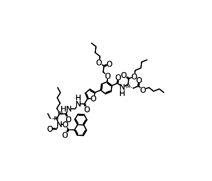 CCCCC[C@@H](C(=O)NCNC(=O)c1ccc(-c2ccc(C(=O)N[C@@H](CC(=O)OCCCC)C(=O)OCCCC)c(OCC(=O)OCCCC)c2)o1)[C@@H](CC)N(C=O)OC(=O)c1cccc2ccccc12